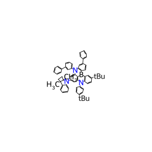 CC(C)(C)c1ccc(N2c3ccc(C(C)(C)C)cc3B3c4ccc(-c5ccccc5)cc4N(c4cccc(-c5ccccc5)c4)c4cc(N5c6ccccc6C6(C)CCC56C)cc2c43)cc1